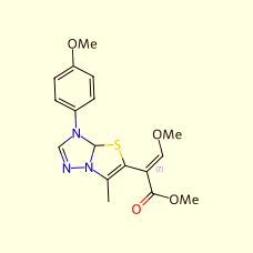 CO/C=C(/C(=O)OC)C1=C(C)N2N=CN(c3ccc(OC)cc3)C2S1